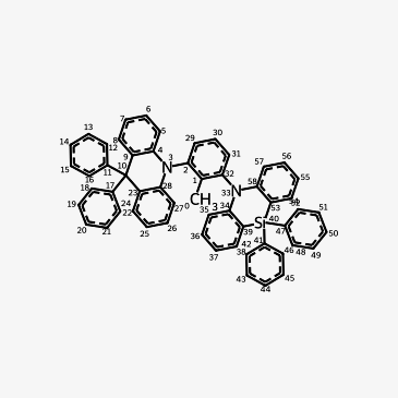 Cc1c(N2c3ccccc3C(c3ccccc3)(c3ccccc3)c3ccccc32)cccc1N1c2ccccc2[Si](c2ccccc2)(c2ccccc2)c2ccccc21